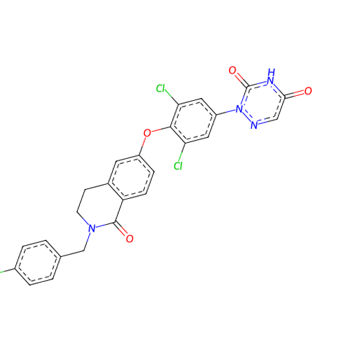 O=C1c2ccc(Oc3c(Cl)cc(-n4ncc(=O)[nH]c4=O)cc3Cl)cc2CCN1Cc1ccc(Cl)cc1